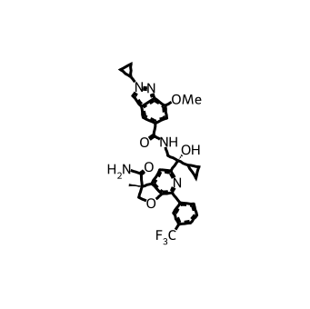 COc1cc(C(=O)NC[C@](O)(c2cc3c(c(-c4cccc(C(F)(F)F)c4)n2)OC[C@]3(C)C(N)=O)C2CC2)cc2cn(C3CC3)nc12